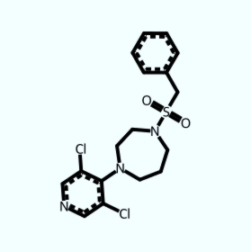 O=S(=O)(Cc1ccccc1)N1CCCN(c2c(Cl)cncc2Cl)CC1